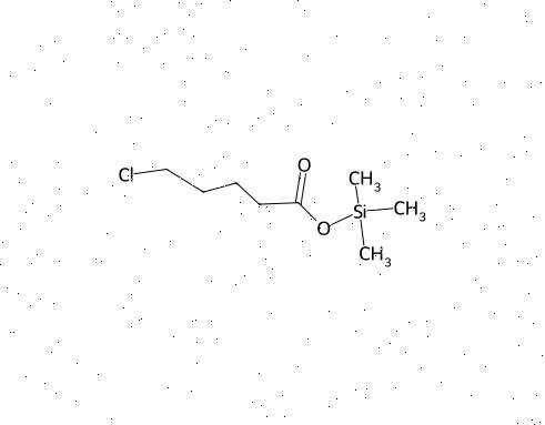 C[Si](C)(C)OC(=O)CCCCCl